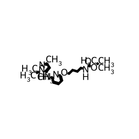 Cc1cc(Nc2cccc(OCCCCNC(=O)OC(C)(C)C)n2)n(C(C)(C)C)n1